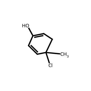 CC1(Cl)C=CC(O)=CC1